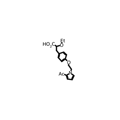 CCOC(Cc1ccc(OCCn2cccc2C(C)=O)cc1)C(=O)O